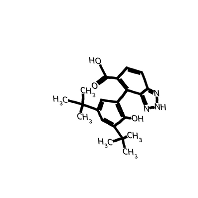 CC(C)(C)c1cc(-c2c(C(=O)O)ccc3n[nH]nc23)c(O)c(C(C)(C)C)c1